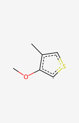 COc1[c]scc1C